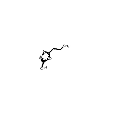 [CH2]CCc1nnc(O)o1